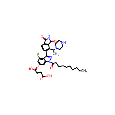 CCCCCCCCCC(=O)n1nc(-c2ccc3c(c2C(C)N2CCNCC2)C(=O)NC3=O)c2c(F)cccc21.O=C(O)C=CC(=O)O